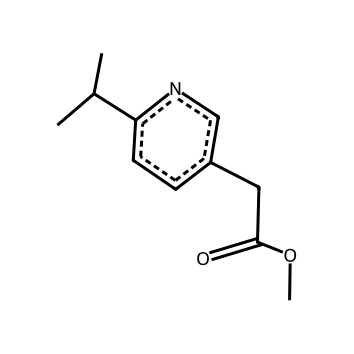 COC(=O)Cc1ccc(C(C)C)nc1